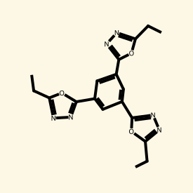 CCc1nnc(-c2cc(-c3nnc(CC)o3)cc(-c3nnc(CC)o3)c2)o1